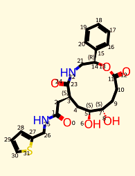 O=C(C[C@@H]1C[C@H](O)[C@@H](O)CCC(=O)O[C@H](c2ccccc2)CNC1=O)NCc1cccs1